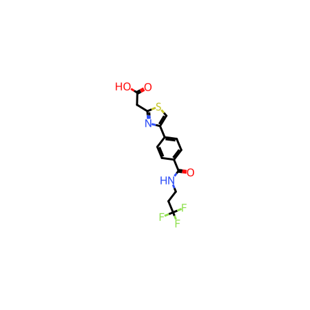 O=C(O)Cc1nc(-c2ccc(C(=O)NCCC(F)(F)F)cc2)cs1